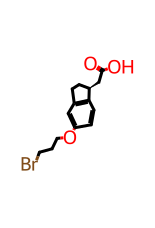 O=C(O)C[C@@H]1CCc2cc(OCCCBr)ccc21